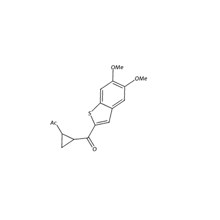 COc1cc2cc(C(=O)C3CC3C(C)=O)sc2cc1OC